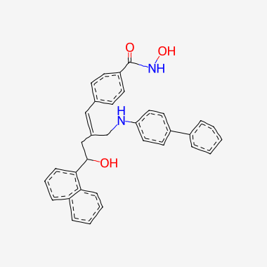 O=C(NO)c1ccc(C=C(CNc2ccc(-c3ccccc3)cc2)CC(O)c2cccc3ccccc23)cc1